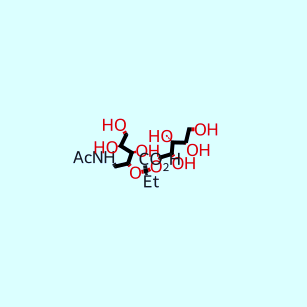 CC[C@@](OCC(O)[C@H](O)C(O)CO)(OC(CNC(C)=O)[C@H](O)[C@H](O)CO)C(=O)O